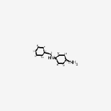 NC1CCC(NCC2CCCCC2)CC1